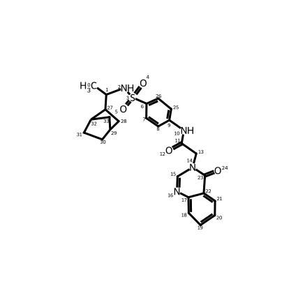 CC(NS(=O)(=O)c1ccc(NC(=O)Cn2cnc3ccccc3c2=O)cc1)C1CC2CCC1C2